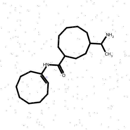 CC(N)C1CCCCCC(C(=O)N/C2=C/CCCCCCC2)CC1